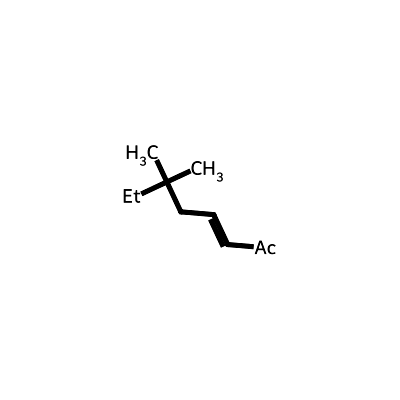 CCC(C)(C)C/C=C/C(C)=O